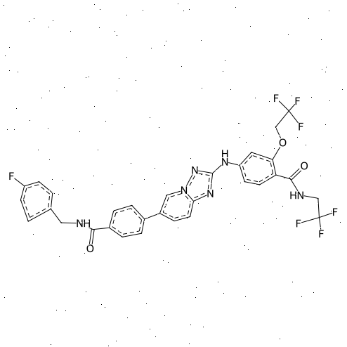 O=C(NCc1ccc(F)cc1)c1ccc(-c2ccc3nc(Nc4ccc(C(=O)NCC(F)(F)F)c(OCC(F)(F)F)c4)nn3c2)cc1